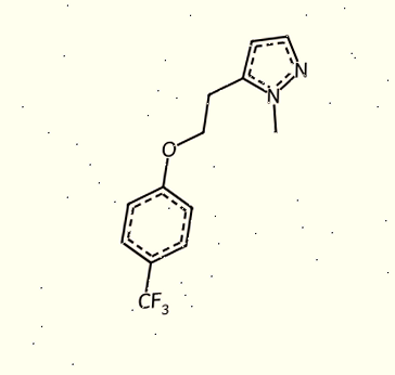 Cn1nccc1CCOc1ccc(C(F)(F)F)cc1